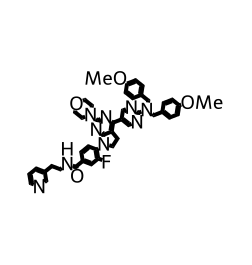 COc1ccc(CN(Cc2ccc(OC)cc2)c2ncc(-c3nc(N4CCOCC4)nc4c3CCN4c3ccc(C(=O)NCCc4cccnc4)cc3F)cn2)cc1